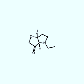 CCN1CC[C@H]2OCC(=O)[C@H]21